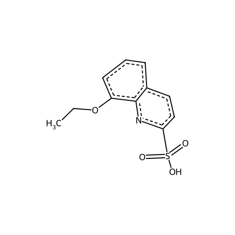 CCOc1cccc2ccc(S(=O)(=O)O)nc12